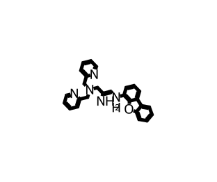 N/C(=C\Nc1cccc2c1oc1ccccc12)CN(Cc1ccccn1)Cc1ccccn1